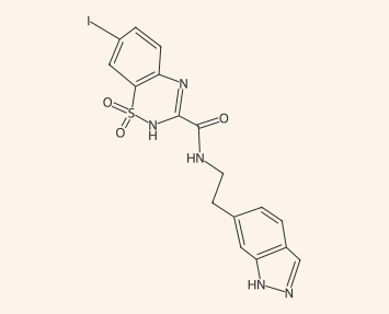 O=C(NCCc1ccc2cn[nH]c2c1)C1=Nc2ccc(I)cc2S(=O)(=O)N1